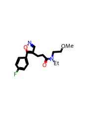 CCN(CCOC)C(=O)CCc1cnoc1-c1ccc(F)cc1